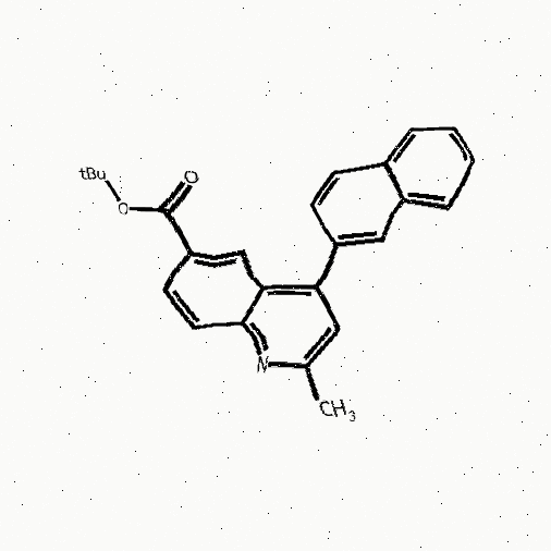 Cc1cc(-c2ccc3ccccc3c2)c2cc(C(=O)OC(C)(C)C)ccc2n1